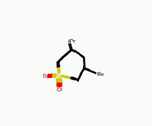 CC(C)C1CC(C(C)(C)C)CS(=O)(=O)C1